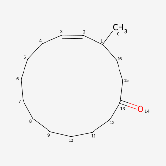 CC1C=CCCCCCCCCCC(=O)CC1